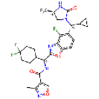 Cc1nocc1C(=O)N[C@H](c1nc2c(F)c([C@@H](C3CC3)N3C[C@@H](C(F)(F)F)NC3=O)ccc2o1)C1CCC(F)(F)CC1